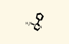 Nn1ccnc1-c1[c]cccc1